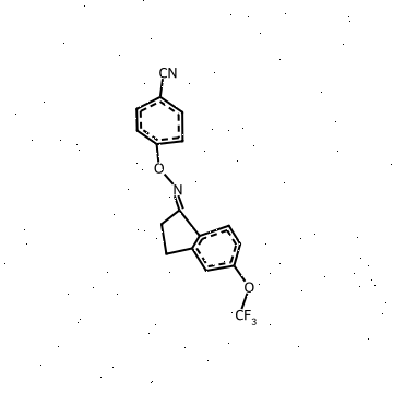 N#Cc1ccc(O/N=C2\CCc3cc(OC(F)(F)F)ccc32)cc1